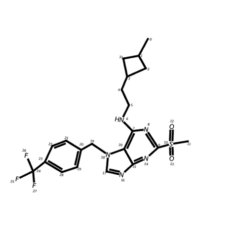 CC1CC(CCNc2nc(S(C)(=O)=O)nc3ncn(Cc4ccc(C(F)(F)F)cc4)c23)C1